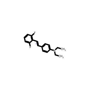 CCN(CC)c1ccc(/C=C/c2c(F)cccc2F)cc1